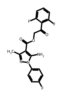 Cc1nn(-c2ccc(F)cc2)c(N)c1C(=O)OCC(=O)c1c(F)cccc1F